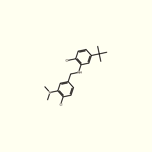 CN(C)c1cc(CNc2cc(C(C)(C)C)ccc2Cl)ccc1Cl